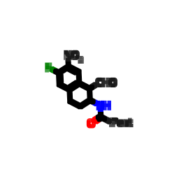 CCCC(C)C(=O)NC1CCc2cc(F)c([N+](=O)[O-])cc2C1C=O